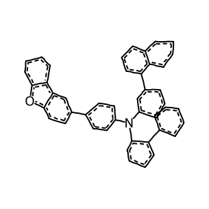 c1ccc(-c2ccccc2N(c2ccc(-c3ccc4oc5ccccc5c4c3)cc2)c2cccc(-c3cccc4ccccc34)c2)cc1